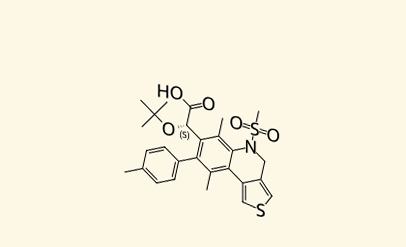 Cc1ccc(-c2c(C)c3c(c(C)c2[C@H](OC(C)(C)C)C(=O)O)N(S(C)(=O)=O)Cc2cscc2-3)cc1